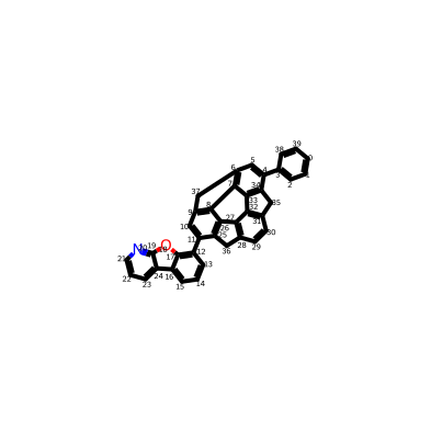 c1ccc(-c2cc3c4c5c(cc(-c6cccc7c6oc6ncccc67)c6c5c5c(ccc7c5c4c2C7)C6)C3)cc1